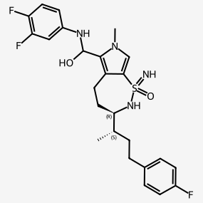 C[C@@H](CCc1ccc(F)cc1)[C@H]1CCc2c(cn(C)c2C(O)Nc2ccc(F)c(F)c2)S(=N)(=O)N1